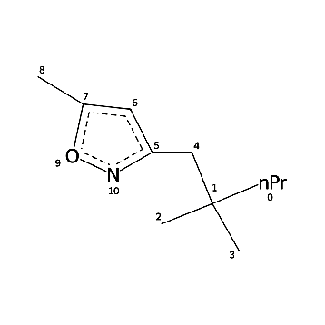 CCCC(C)(C)Cc1cc(C)on1